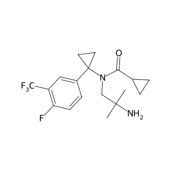 CC(C)(N)CN(C(=O)C1CC1)C1(c2ccc(F)c(C(F)(F)F)c2)CC1